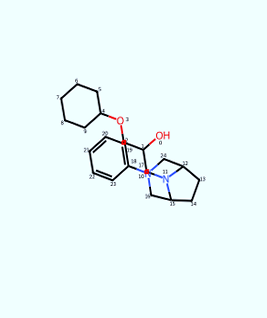 OC(COC1CCCCC1)CN1C2CCC1CN(c1ccccc1)C2